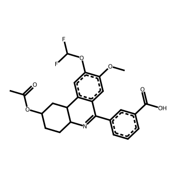 COc1cc2c(cc1OC(F)F)C1CC(OC(C)=O)CCC1N=C2c1cccc(C(=O)O)c1